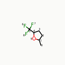 CC1CCC(C(F)(F)F)O1